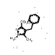 CCOC(=O)c1nn(C)c(C)c1Cc1ccccc1